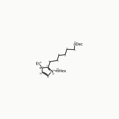 CCCCCCCCCCCCCCCCc1n(CC)cc[n+]1CCCCCC